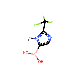 Cn1c(B(O)O)cnc1C(F)(F)F